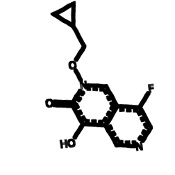 O=c1c(O)c2cncc(F)c2cn1OCC1CC1